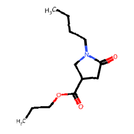 CCCCN1CC(C(=O)OCCC)CC1=O